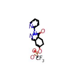 O=c1c2c(cnn1-c1ccccn1)C=C(OS(=O)(=O)C(F)(F)F)CC2